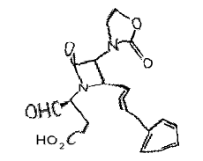 O=C[C@H](CC(=O)O)N1C(=O)C(N2CCOC2=O)[C@H]1/C=C/c1ccccc1